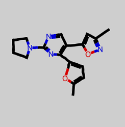 Cc1cc(-c2cnc(N3CCCC3)nc2-c2ccc(C)o2)on1